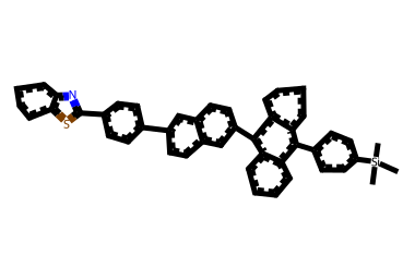 C[Si](C)(C)c1ccc(-c2c3ccccc3c(-c3ccc4cc(-c5ccc(-c6nc7ccccc7s6)cc5)ccc4c3)c3ccccc23)cc1